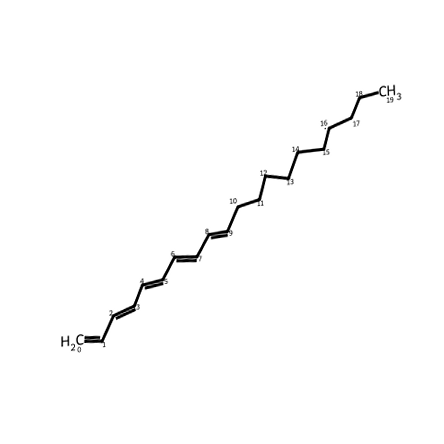 C=C/C=C/C=C/C=C/C=C/CCCCCC[CH]CCC